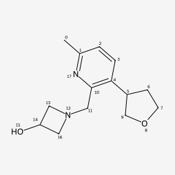 Cc1ccc(C2CCOC2)c(CN2CC(O)C2)n1